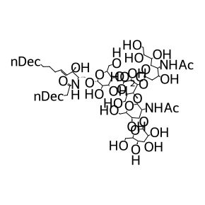 CCCCCCCCCCCCC/C=C/[C@@H](O)[C@H](CO[C@@H]1OC(CO)[C@@H](O[C@@H]2OC(CO)[C@H](O[C@@H]3OC(CO)[C@H](O)C(O[C@@H]4OC(CO)[C@H](O)C(O)C4O)C3NC(C)=O)C(O[C@@]3(C(=O)O)C[C@H](O)[C@H](NC(C)=O)C([C@@H](O)[C@@H](O)CO)O3)C2O)C(O)C1O)NC(=O)CCCCCCCCCCC